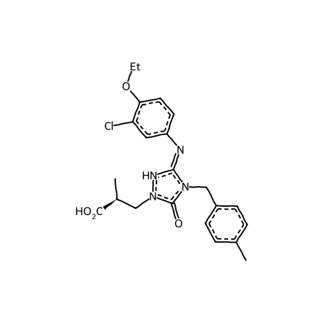 CCOc1ccc(/N=c2\[nH]n(C[C@H](C)C(=O)O)c(=O)n2Cc2ccc(C)cc2)cc1Cl